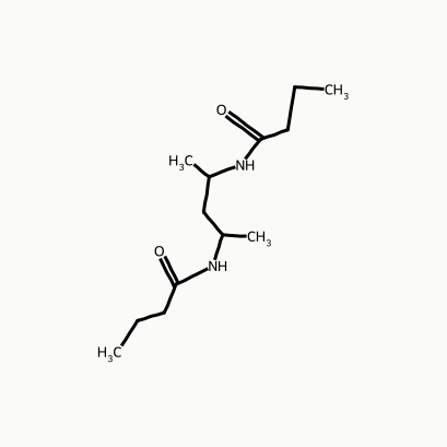 CCCC(=O)NC(C)CC(C)NC(=O)CCC